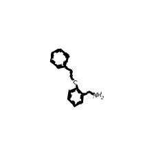 NCc1ccccc1CCCc1ccccc1